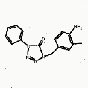 Cc1cc(Cn2nnn(-c3ccccc3)c2=O)ccc1N